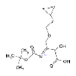 CC(C)(C)OC(=O)/N=C(\COCCC1CC1)C(O)C(=O)O